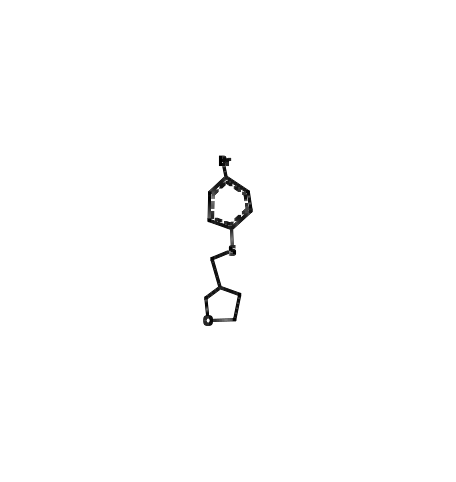 Brc1ccc(SCC2CCOC2)cc1